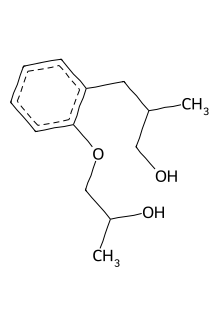 CC(O)COc1ccccc1CC(C)CO